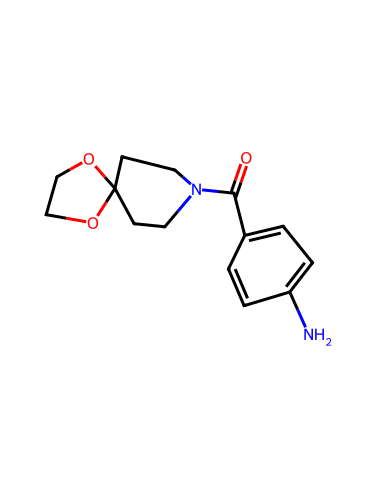 Nc1ccc(C(=O)N2CCC3(CC2)OCCO3)cc1